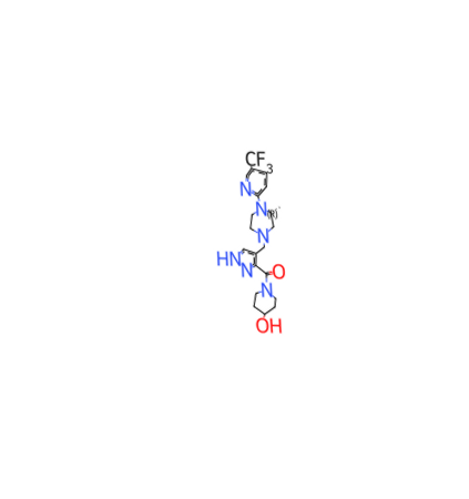 C[C@@H]1CN(Cc2c[nH]nc2C(=O)N2CCC(O)CC2)CCN1c1ccc(C(F)(F)F)cn1